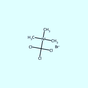 C[N+](C)(C)C(Cl)(Cl)Cl.[Br-]